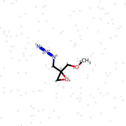 COCC1(CN=[N+]=[N-])CO1